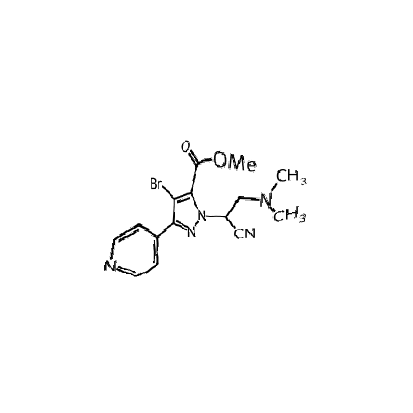 COC(=O)c1c(Br)c(-c2ccncc2)nn1C(C#N)CN(C)C